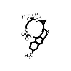 CC1CCc2c(cc3cnc4cc3c2CS(=O)(=O)CCCC(C)(C)CC2CC42)C1